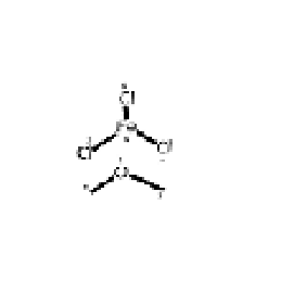 COC.[Cl][Fe]([Cl])[Cl]